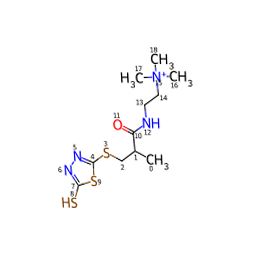 CC(CSc1nnc(S)s1)C(=O)NCC[N+](C)(C)C